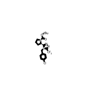 CC(C)(C)OC(=O)N1CCC[C@@H]1c1nnc(C(F)(F)F)n1Cc1ccc(Cl)cc1